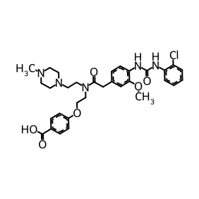 COc1cc(CC(=O)N(CCOc2ccc(C(=O)O)cc2)CCN2CCN(C)CC2)ccc1NC(=O)Nc1ccccc1Cl